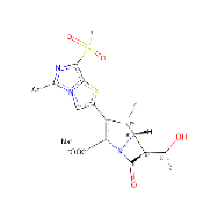 CC(=O)c1nc(S(C)(=O)=O)c2sc(C3=C(C(=O)[O-])N4C(=O)[C@H]([C@@H](C)O)[C@H]4[C@H]3C)cn12.[Na+]